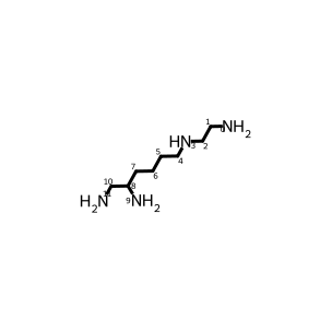 NCCNCCCCC(N)CN